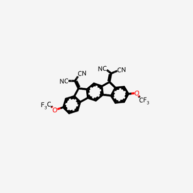 N#CC(C#N)=C1c2cc(OC(F)(F)F)ccc2-c2cc3c(cc21)C(=C(C#N)C#N)c1cc(OC(F)(F)F)ccc1-3